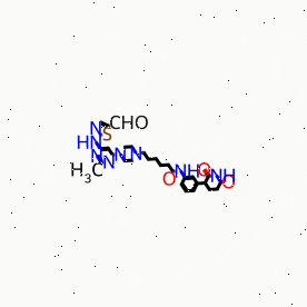 Cc1nc(Nc2ncc(C=O)s2)cc(N2CCN(CCCCCC(=O)Nc3cccc(C4CCC(=O)NC4=O)c3)CC2)n1